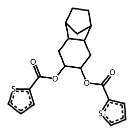 O=C(OC1CC2C3CCC(C3)C2CC1OC(=O)c1cccs1)c1cccs1